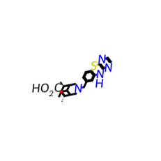 CC(C(=O)O)C1C2CN(Cc3ccc4c(c3)Nc3nccnc3S4)CC1[C@H](C)C[C@H]2C